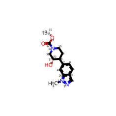 Cn1ncc2ccc(C3CCN(C(=O)OC(C)(C)C)C[C@H]3O)cc21